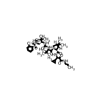 C=CCNC(=O)C(=O)C(NC(=O)[C@@H]1[C@@H]2[C@H](CN1C(=O)[C@@H](NC(=O)N[C@H](CN(C)S(=O)(=O)c1ccccc1Cl)C(C)(C)C)C(C)(C)C)C2(C)C)C1CC1